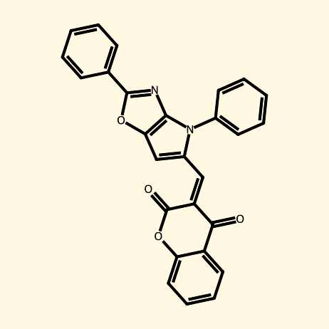 O=C1Oc2ccccc2C(=O)/C1=C/c1cc2oc(-c3ccccc3)nc2n1-c1ccccc1